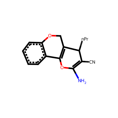 CCCC1C(C#N)=C(N)OC2=C1COc1ccccc12